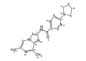 Cc1cn2cc(NC(=O)c3cnc(N4CCCC4)cn3)nc2c(C)n1